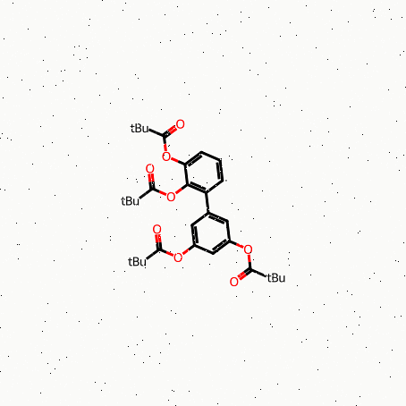 CC(C)(C)C(=O)Oc1cc(OC(=O)C(C)(C)C)cc(-c2[c]ccc(OC(=O)C(C)(C)C)c2OC(=O)C(C)(C)C)c1